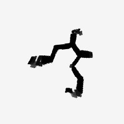 C=C(CCC)C(=O)OCC